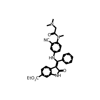 CCOC(=O)c1ccc2c(c1)NC(=O)C2=C(Nc1ccc(N(C)C(=O)CN(C)C)c(C#N)c1)c1ccccc1